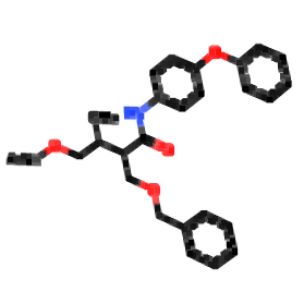 COC(CONC(C)=O)C(COCc1ccccc1)C(=O)Nc1ccc(Oc2ccccc2)cc1